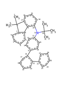 CC1(C)c2ccccc2-c2c(N(c3ccc(-c4ccccc4-c4ccccc4)cc3)C(C)(C)C)cccc21